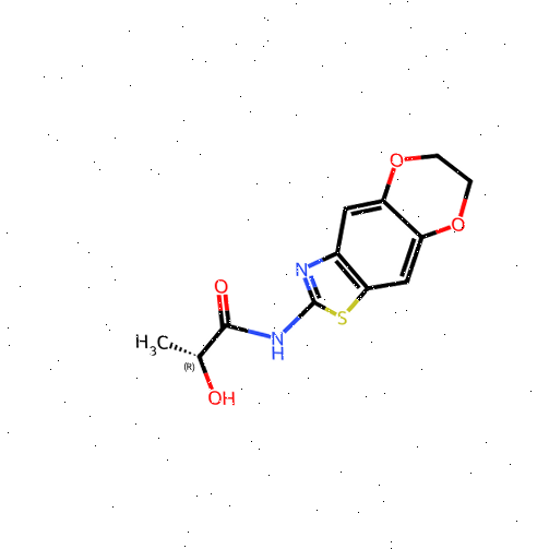 C[C@@H](O)C(=O)Nc1nc2cc3c(cc2s1)OCCO3